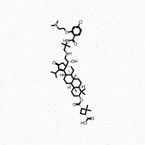 CC(C)C1=C2[C@H]3CC[C@@H]4[C@@]5(C)CC[C@H](OC(=O)[C@H]6C[C@@H](C(=O)O)C6(C)C)C(C)(C)[C@@H]5CC[C@@]4(C)[C@]3(C)CC[C@@]2([C@@H](O)CNCC(C)(C)NC(=O)c2ccc(Cl)cc2OCCN(C)C)CC1=O